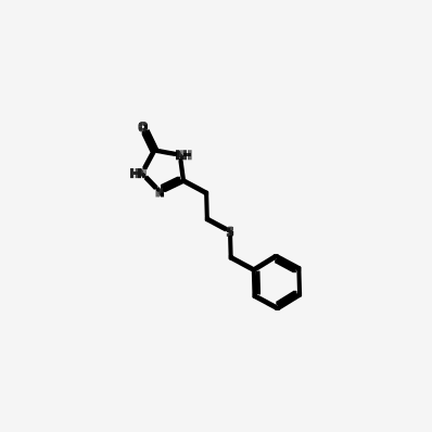 O=c1[nH]nc(CCSCc2ccccc2)[nH]1